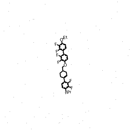 CCCc1ccc(C2=CCC(COc3ccc(-c4ccc(OCC)c(F)c4F)c(F)c3F)CC2)c(F)c1F